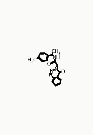 Cc1ccc([C@@H](C)NC(=O)Cn2nnc3ccccc3c2=O)cc1